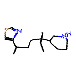 CC(CCC(C)(C)C1CCCNC1)c1cscn1